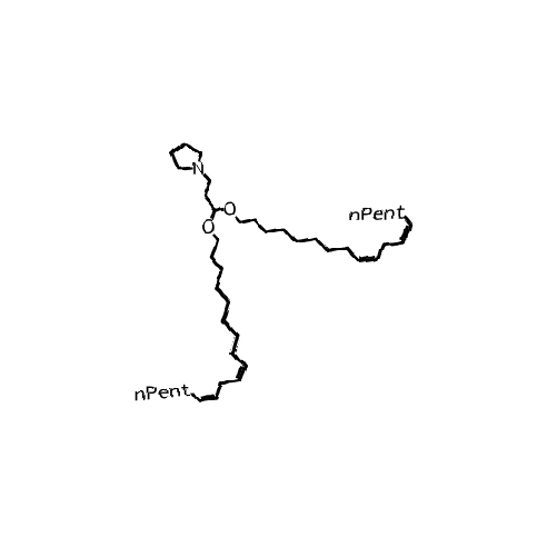 CCCCC/C=C\C/C=C\CCCCCCCCOC(CCN1CCCC1)OCCCCCCCC/C=C\C/C=C\CCCCC